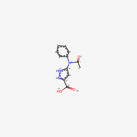 CC(=O)N(c1ccccc1)c1cc(C(=O)O)n[nH]1